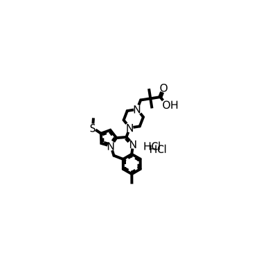 CSc1cc2n(c1)Cc1cc(C)ccc1N=C2N1CCN(CC(C)(C)C(=O)O)CC1.Cl.Cl